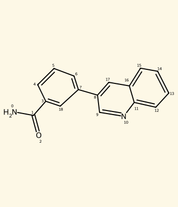 NC(=O)c1cccc(-c2cnc3ccccc3c2)c1